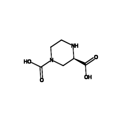 O=C(O)[C@H]1CN(C(=O)O)CCN1